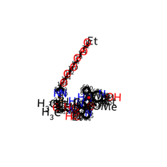 CCOCCOCCOCCOCCOCCOCc1cnc(SC[Si](C)(C)O[Si](C)(C)CCCNC(=O)[C@@]2(O)[C@H](O)[C@]3(CC)C=CCN4CC[C@@]5(c6cc([C@@]7(C(=O)OC)C[C@@H]8CN(CCc9c7[nH]c7ccccc97)C[C@](O)(CC)C8)c(OC)cc6N(C)[C@@H]25)[C@@H]43)nc1